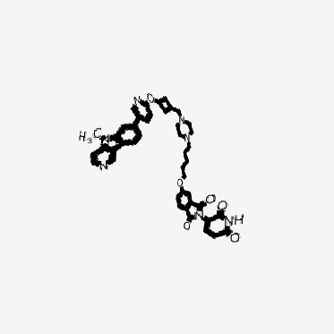 Cn1c2ccncc2c2ccc(-c3ccc(OC4CC(CN5CCN(CCCCCOc6ccc7c(c6)C(=O)N(C6CCC(=O)NC6=O)C7=O)CC5)C4)nc3)cc21